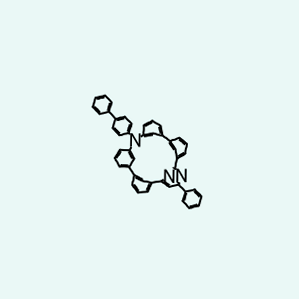 c1ccc(-c2ccc(N3c4cccc(c4)-c4cccc(c4)-c4cc(-c5ccccc5)nc(n4)-c4cccc(c4)-c4cccc3c4)cc2)cc1